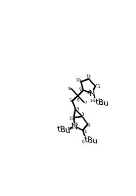 CC(C)(C)C1CC2C(CC(C)(C)C3CCCN3C(C)(C)C)C2N1C(C)(C)C